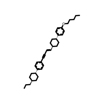 CCCCCOc1ccc([C@H]2CC[C@H](C=CC#Cc3ccc([C@H]4CC[C@H](CCC)CC4)cc3)CC2)cc1